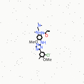 C=CC(=O)Nc1cc(Nc2ncnc(-c3cc(C)c(OC)c(Cl)c3)n2)c(OC)cc1N(C)CCN(C)C